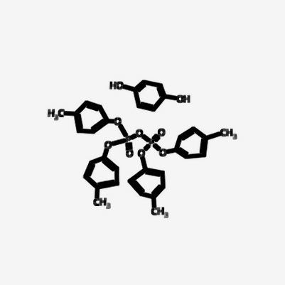 Cc1ccc(OP(=O)(Oc2ccc(C)cc2)OP(=O)(Oc2ccc(C)cc2)Oc2ccc(C)cc2)cc1.Oc1ccc(O)cc1